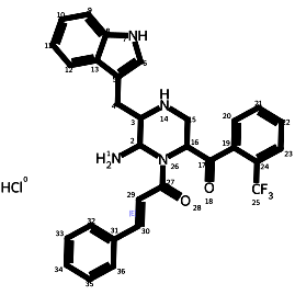 Cl.NC1C(Cc2c[nH]c3ccccc23)NCC(C(=O)c2ccccc2C(F)(F)F)N1C(=O)/C=C/c1ccccc1